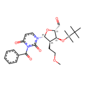 COCC[C@@H]1[C@H](O[Si](C)(C)C(C)(C)C)[C@@H](C=O)O[C@H]1n1ccc(=O)n(C(=O)c2ccccc2)c1=O